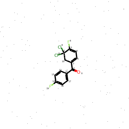 O=C(C1=CC=C(F)C(Cl)(Cl)C1)c1ccc(F)cc1